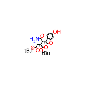 CC(C)(C)OC(=O)C[C@H](C(=O)OC(C)(C)C)C(C(N)=O)[C@H]1COc2cc(O)ccc21